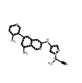 Cc1ccncc1-c1cc(N)c2cnc(Nc3cnn([C@H](C)C#N)c3)cc2c1